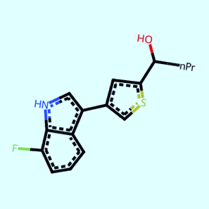 CCCC(O)c1cc(-c2c[nH]c3c(F)cccc23)cs1